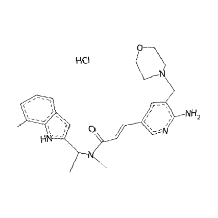 Cc1cccc2cc(C(C)N(C)C(=O)/C=C/c3cnc(N)c(CN4CCOCC4)c3)[nH]c12.Cl